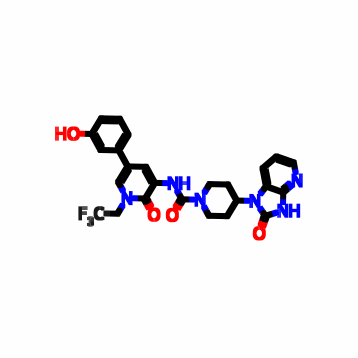 O=C(Nc1cc(-c2cccc(O)c2)cn(CC(F)(F)F)c1=O)N1CCC(n2c(=O)[nH]c3ncccc32)CC1